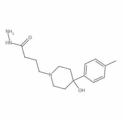 Cc1ccc(C2(O)CCN(CCCC(=O)NN)CC2)cc1